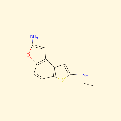 CCNc1cc2c(ccc3oc(N)cc32)s1